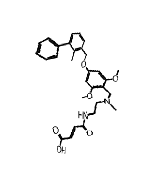 COc1cc(OCc2cccc(-c3ccccc3)c2C)cc(OC)c1CN(C)CCNC(=O)C=CC(=O)O